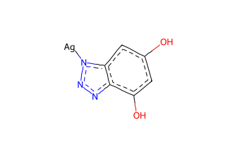 Oc1cc(O)c2nn[n]([Ag])c2c1